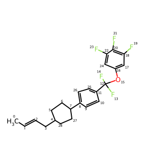 C/C=C/CC1CCC(c2ccc(C(F)(F)Oc3cc(F)c(F)c(F)c3)cc2)CC1